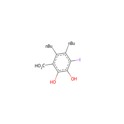 CCCCc1c(I)c(O)c(O)c(C(=O)O)c1CCCC